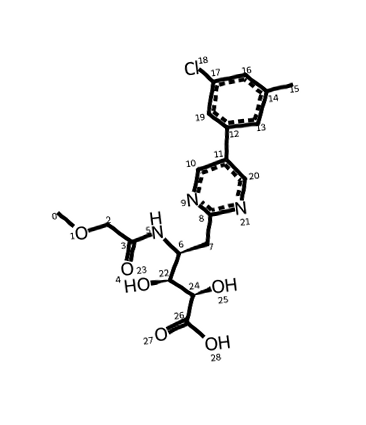 COCC(=O)N[C@@H](Cc1ncc(-c2cc(C)cc(Cl)c2)cn1)[C@H](O)[C@@H](O)C(=O)O